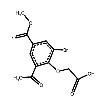 COC(=O)c1cc(Br)c(OCC(=O)O)c(C(C)=O)c1